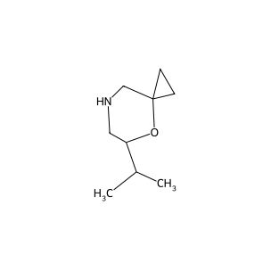 CC(C)C1CNCC2(CC2)O1